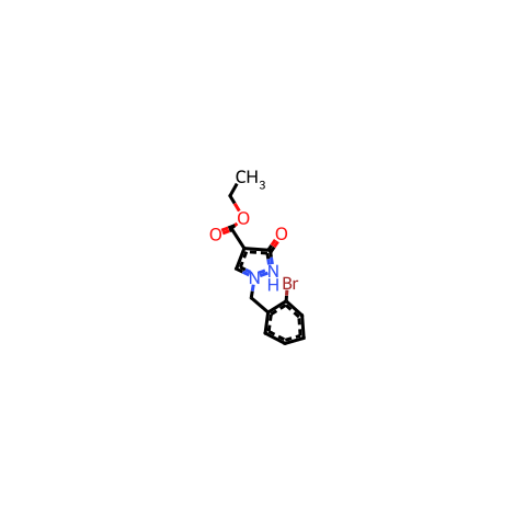 CCOC(=O)c1cn(Cc2ccccc2Br)[nH]c1=O